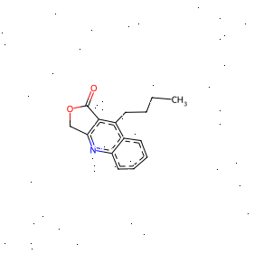 CCCCc1c2c(nc3ccccc13)COC2=O